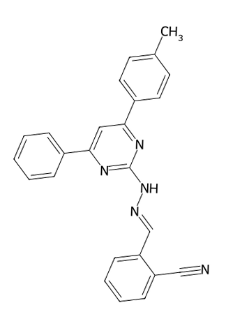 Cc1ccc(-c2cc(-c3ccccc3)nc(NN=Cc3ccccc3C#N)n2)cc1